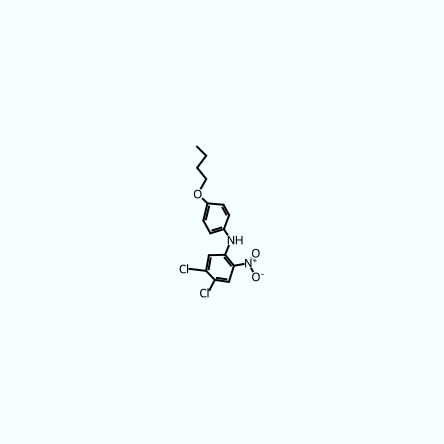 CCCCOc1ccc(Nc2cc(Cl)c(Cl)cc2[N+](=O)[O-])cc1